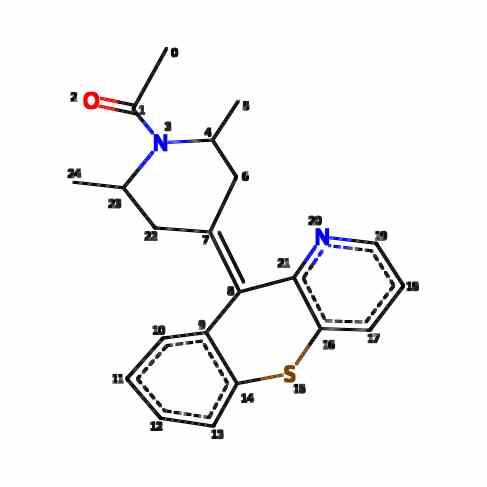 CC(=O)N1C(C)CC(=C2c3ccccc3Sc3cccnc32)CC1C